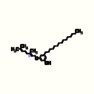 CCCCCCCCCCCCCCCc1cc(O)cc(OC/C=C(\C)CCC=C(C)C)c1